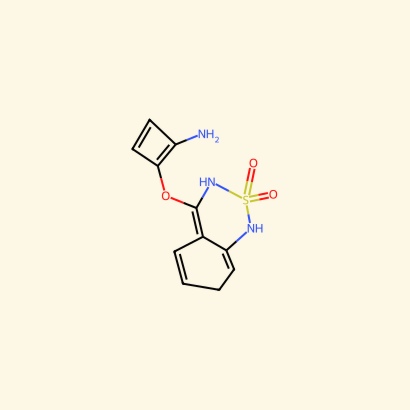 NC1=C(OC2=C3C=CCC=C3NS(=O)(=O)N2)C=C1